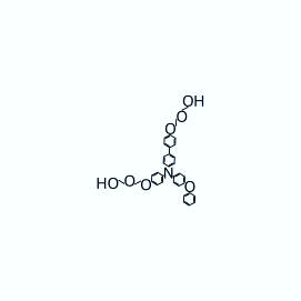 OCCOCCOc1ccc(-c2ccc(N(c3ccc(OCCOCCO)cc3)c3ccc(Oc4ccccc4)cc3)cc2)cc1